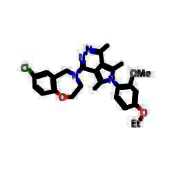 CCOc1ccc(-n2c(C)c3c(C)nnc(N4CCOc5ccc(Cl)cc5C4)c3c2C)c(OC)c1